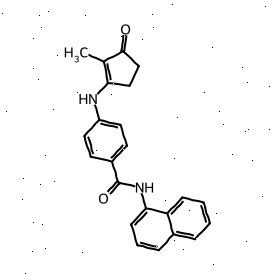 CC1=C(Nc2ccc(C(=O)Nc3cccc4ccccc34)cc2)CCC1=O